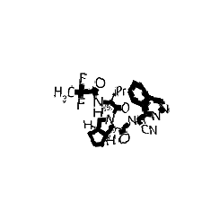 CC(C)[C@H](NC(=O)C(C)(F)F)C(=O)N1C[C@@H]2CCC[C@@H]2[C@H]1C(=O)NC(C#N)c1nncc2ccccc12